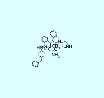 CC(C)(OC(N)=O)C(c1ccccc1C(=O)NC1CCN(Cc2ccccc2)CC1)N1C(=O)N(C2CCNCC2)Cc2ccccc21